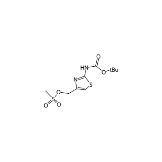 CC(C)(C)OC(=O)Nc1nc(COS(C)(=O)=O)cs1